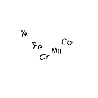 [Co].[Cr].[Fe].[Mn].[Ni]